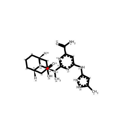 Cc1cc(Nc2cc(C(N)=O)nc(N(C)[C@@H]3C[C@H]4CCC[C@@H](C3)N4C(=O)O)n2)n[nH]1